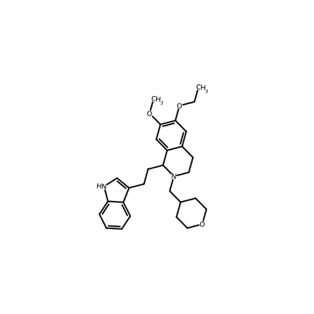 CCOc1cc2c(cc1OC)C(CCc1c[nH]c3ccccc13)N(CC1CCOCC1)CC2